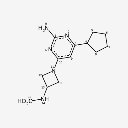 Nc1nc(C2CCCC2)cc(N2CC(NC(=O)O)C2)n1